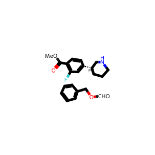 COC(=O)c1ccc([C@H]2CCCNC2)cc1F.O=COCc1ccccc1